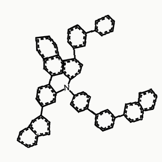 c1ccc(-c2cccc(-c3ccc(N(c4ccc(-c5cccc(-c6ccc7ccccc7c6)c5)cc4)c4cc(-c5ccc6ccccc6c5)ccc4-c4ccc5ccccc5c4)cc3)c2)cc1